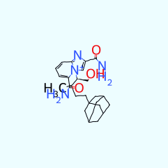 CC(CCC12CC3CC(CC(C3)C1)C2)[C@H](CO)[N+]12C=C(C(N)=O)N=C1C=CC=C2C(N)=O